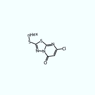 CCCCCCSc1nn2c(=O)cc(Cl)nc2s1